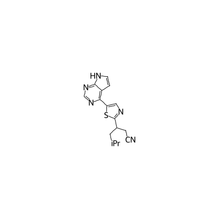 CC(C)CC(CC#N)c1ncc(-c2ncnc3[nH]ccc23)s1